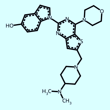 CN(C)C1CCN(Cc2cc3nc(-n4ccc5cc(O)ccc54)nc(N4CCOCC4)c3s2)CC1